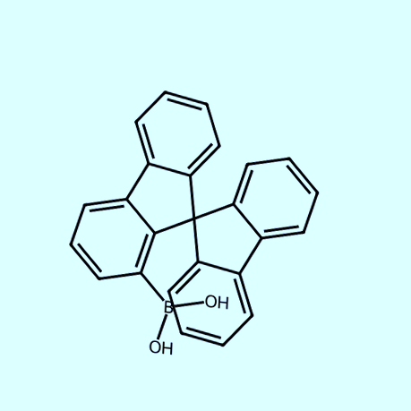 OB(O)c1cccc2c1C1(c3ccccc3-c3ccccc31)c1ccccc1-2